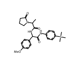 COc1ccc(C(NC(=O)C(C)N2CCCC2=O)C(=O)Nc2ccc(S(C)(C)C)cc2)cc1